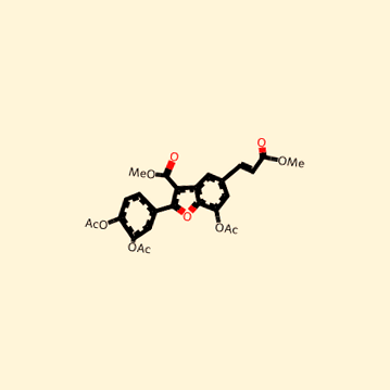 COC(=O)/C=C/c1cc(OC(C)=O)c2oc(-c3ccc(OC(C)=O)c(OC(C)=O)c3)c(C(=O)OC)c2c1